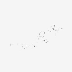 Cc1ccc(CN2CCC3(CC2)CC(=O)c2cc(C=CC(=O)NO)ccc2O3)cc1